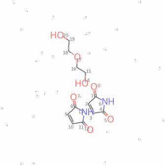 O=C1C=CC(=O)N1.O=C1C=CC(=O)N1.OCCOCCO